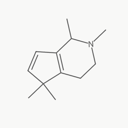 CC1C2=C(CCN1C)C(C)(C)C=C2